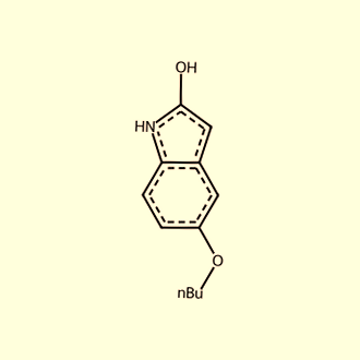 CCCCOc1ccc2[nH]c(O)cc2c1